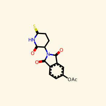 CC(=O)Oc1ccc2c(c1)C(=O)N(C1CCC(=S)NC1=O)C2=O